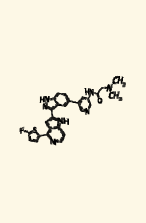 CN(C)CC(=O)Nc1cncc(-c2ccc3[nH]nc(-c4cc5c(-c6ccc(F)s6)nccc5[nH]4)c3c2)c1